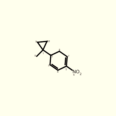 CC1([C]2C=CC([N+](=O)[O-])=CC2)CC1